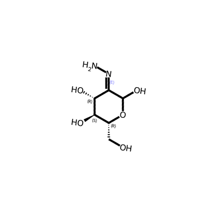 N/N=C1/C(O)O[C@H](CO)[C@@H](O)[C@@H]1O